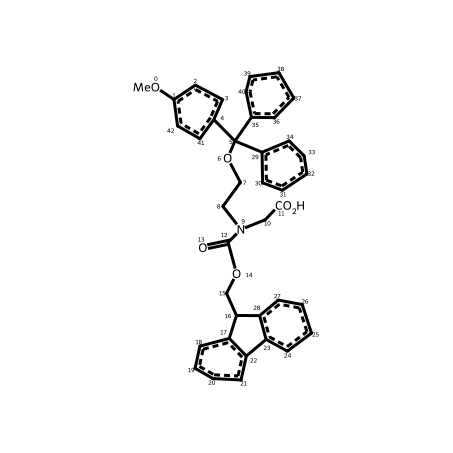 COc1ccc(C(OCCN(CC(=O)O)C(=O)OCC2c3ccccc3-c3ccccc32)(c2ccccc2)c2ccccc2)cc1